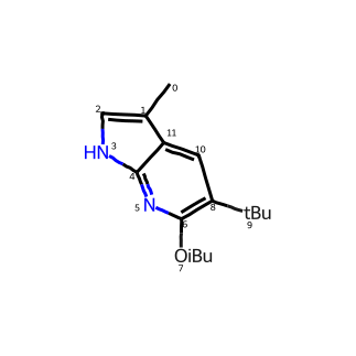 Cc1c[nH]c2nc(OCC(C)C)c(C(C)(C)C)cc12